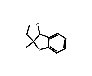 CCC1(C)Oc2ccccc2C1Cl